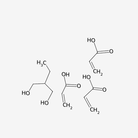 C=CC(=O)O.C=CC(=O)O.C=CC(=O)O.CCC(CO)CO